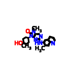 Cc1cc2ncccc2cc1Nc1ncc2c(n1)n([C@H]1CC[C@@](C)(O)CC1)c(=O)n2C